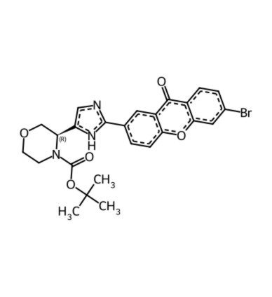 CC(C)(C)OC(=O)N1CCOC[C@H]1c1cnc(-c2ccc3oc4cc(Br)ccc4c(=O)c3c2)[nH]1